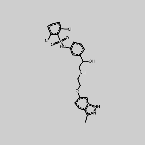 Cc1n[nH]c2cc(OCCNCC(O)c3cccc(NS(=O)(=O)c4c(Cl)cccc4Cl)c3)ccc12